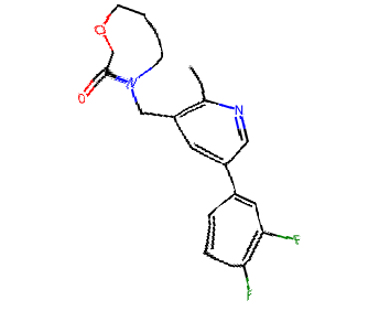 Cc1ncc(-c2ccc(F)c(F)c2)cc1CN1CCCOC1=O